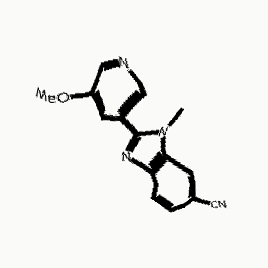 COc1cncc(-c2nc3ccc(C#N)cc3n2C)c1